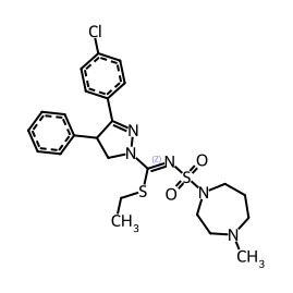 CCS/C(=N\S(=O)(=O)N1CCCN(C)CC1)N1CC(c2ccccc2)C(c2ccc(Cl)cc2)=N1